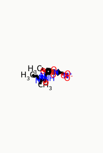 CCCc1nc(C)c2c(=O)[nH]c(-c3cc(S(=O)(=O)N4CC(CO[N+](=O)[O-])C4)ccc3OCC)nn12